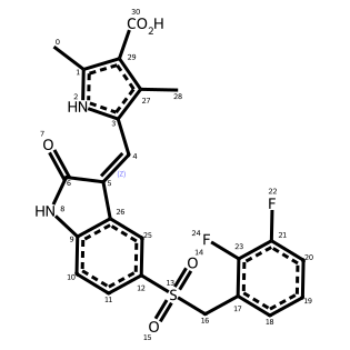 Cc1[nH]c(/C=C2\C(=O)Nc3ccc(S(=O)(=O)Cc4cccc(F)c4F)cc32)c(C)c1C(=O)O